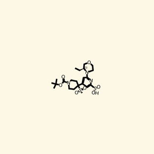 CC[C@H]1COCCN1c1cc(C2(S(C)(=O)=O)CCN(C(=O)OC(C)(C)C)CC2)cc(S(=O)O)n1